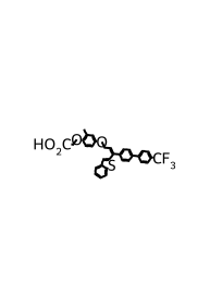 Cc1cc(OC/C=C(/c2ccc(-c3ccc(C(F)(F)F)cc3)cc2)c2cc3ccccc3s2)ccc1OCC(=O)O